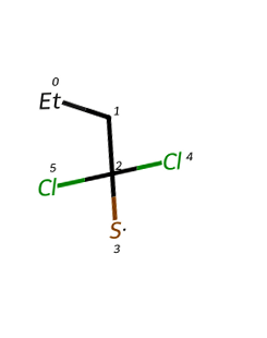 CCCC([S])(Cl)Cl